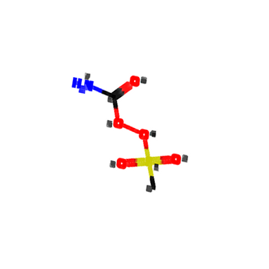 CS(=O)(=O)OOC(N)=O